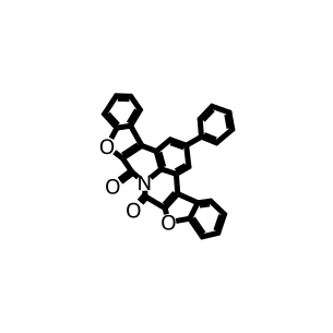 O=c1c2oc3ccccc3c2c2cc(-c3ccccc3)cc3c4c(oc5ccccc54)c(=O)n1c23